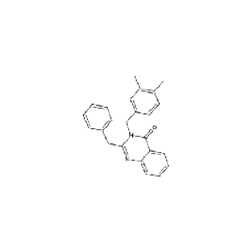 Cc1ccc(Cn2c(Cc3ccccc3)nc3ccccc3c2=O)cc1C